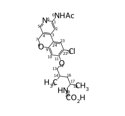 CC(=O)Nc1cc2c(cn1)COc1cc(OCC(C)CC(C)NC(=O)O)c(Cl)cc1-2